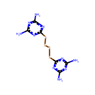 Nc1nc(N)nc(SSSSc2nc(N)nc(N)n2)n1